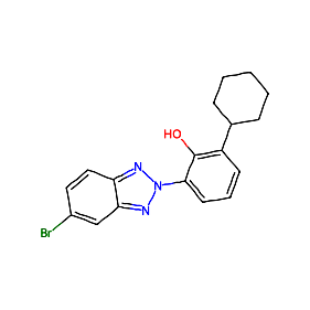 Oc1c(C2CCCCC2)cccc1-n1nc2ccc(Br)cc2n1